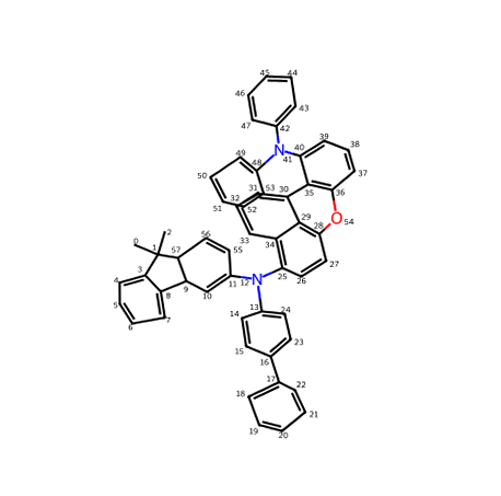 CC1(C)c2ccccc2C2C=C(N(c3ccc(-c4ccccc4)cc3)c3ccc4c5c(cccc35)-c3c(cccc3N(c3ccccc3)c3ccccc3)O4)C=CC21